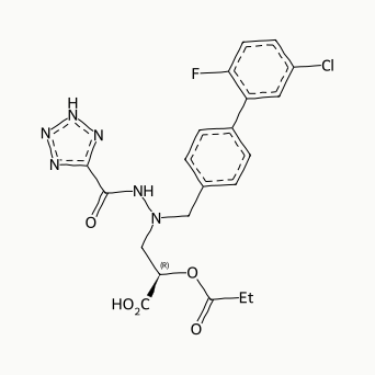 CCC(=O)O[C@H](CN(Cc1ccc(-c2cc(Cl)ccc2F)cc1)NC(=O)c1nn[nH]n1)C(=O)O